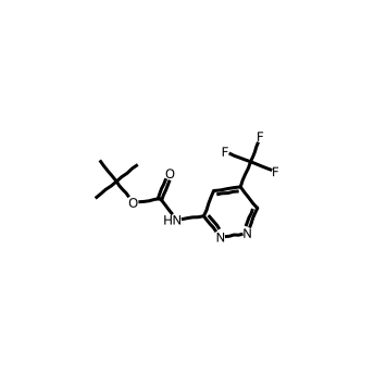 CC(C)(C)OC(=O)Nc1cc(C(F)(F)F)cnn1